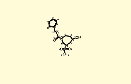 CS(=O)(=O)C1CC(O)CCN(C(=O)OCc2ccccc2)C1